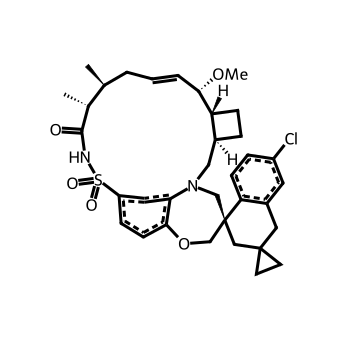 CO[C@H]1/C=C/C[C@H](C)[C@@H](C)C(=O)NS(=O)(=O)c2ccc3c(c2)N(C[C@@H]2CC[C@H]21)C[C@]1(CO3)CC2(CC2)Cc2cc(Cl)ccc21